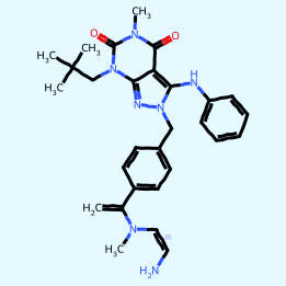 C=C(c1ccc(Cn2nc3c(c2Nc2ccccc2)c(=O)n(C)c(=O)n3CC(C)(C)C)cc1)N(C)/C=C\N